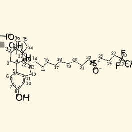 C[C@]12CCC3c4ccc(O)cc4C[C@@H](CCCCCCCCC[S@+]([O-])CCCC(F)(F)C(F)(F)F)[C@H]3[C@H]1CCC2O